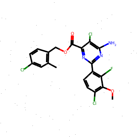 COc1c(Cl)ccc(-c2nc(N)c(Cl)c(C(=O)OCc3ccc(Cl)cc3C)n2)c1F